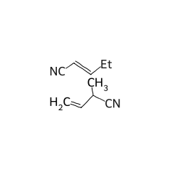 C=CC(C)C#N.CCC=CC#N